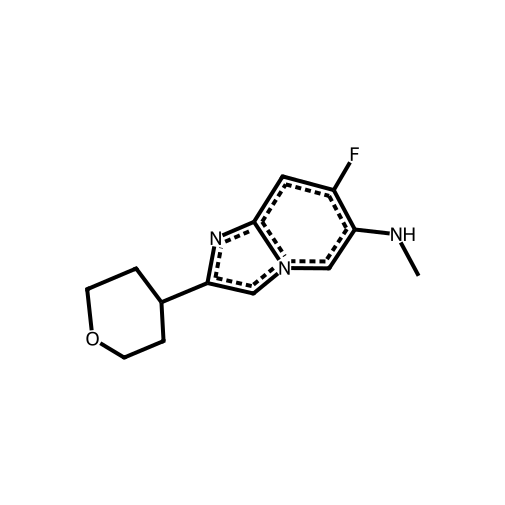 CNc1cn2cc(C3CCOCC3)nc2cc1F